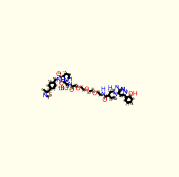 Cc1ncsc1-c1ccc(CNC(=O)[C@@H]2CCCN2C(=O)[C@@H](NC(=O)COCCOCCOCCNC(=O)C2CCN(c3cc(-c4ccccc4O)nnc3N)CC2)C(C)(C)C)cc1